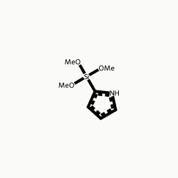 CO[Si](OC)(OC)c1ccc[nH]1